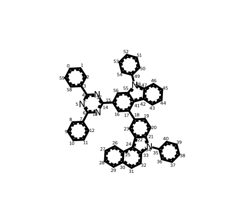 c1ccc(-c2nc(-c3ccccc3)nc(-c3cc(-c4ccc5c(c4)c4c6ccccc6ccc4n5-c4ccccc4)c4c5ccccc5n(-c5ccccc5)c4c3)n2)cc1